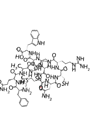 CSCC[C@H](NC(=O)[C@@H]1CCCN1C(=O)[C@H](CS)NC(=O)[C@H](C)NC(=O)[C@H](CCC(N)=O)NC(=O)[C@@H](N)Cc1ccccc1)C(=O)N[C@@H](CC(N)=O)C(=O)N[C@@H](CS)C(=O)N[C@@H](CCCNC(=N)N)C(=O)NCC(=O)N[C@@H](CO)C(=O)N[C@@H](Cc1c[nH]c2ccccc12)C(=O)O